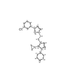 Clc1cccc(-c2nnc(CSc3nnc(-c4ccncc4)n3C3CC3)o2)c1